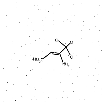 NC(=CC(=O)O)C(Cl)(Cl)Cl